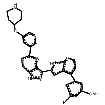 COc1cc(F)cc(-c2ccnc3[nH]c(-c4n[nH]c5ccc(-c6cncc(OC7CCNCC7)c6)nc45)cc23)c1